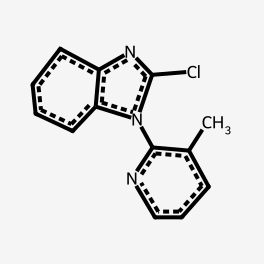 Cc1cccnc1-n1c(Cl)nc2ccccc21